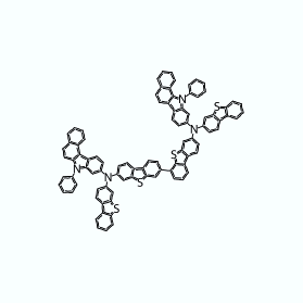 c1ccc(-n2c3cc(N(c4ccc5c(c4)sc4ccccc45)c4ccc5c(c4)sc4cc(-c6cccc7c6sc6cc(N(c8ccc9c(c8)sc8ccccc89)c8ccc9c%10ccc%11ccccc%11c%10n(-c%10ccccc%10)c9c8)ccc67)ccc45)ccc3c3c4ccccc4ccc32)cc1